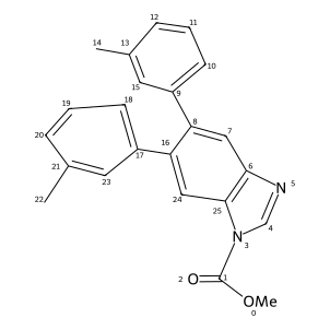 COC(=O)n1cnc2cc(-c3cccc(C)c3)c(-c3cccc(C)c3)cc21